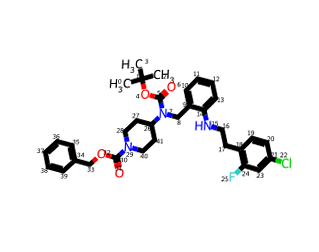 CC(C)(C)OC(=O)N(Cc1ccccc1NCCc1ccc(Cl)cc1F)C1CCN(C(=O)OCc2ccccc2)CC1